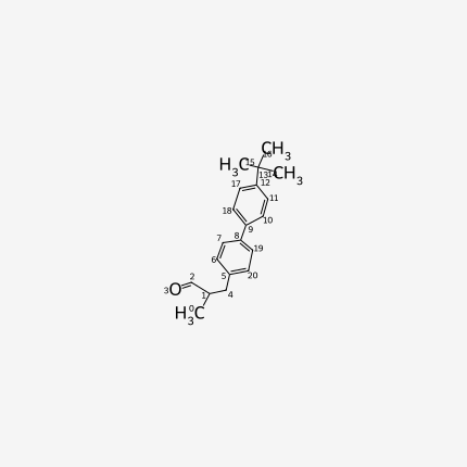 CC(C=O)Cc1ccc(-c2ccc(C(C)(C)C)cc2)cc1